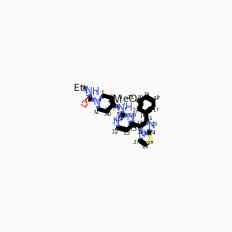 CCNC(=O)N1CCC(Nc2nccc(-c3c(-c4cccc(OC)c4)nc4sccn34)n2)CC1